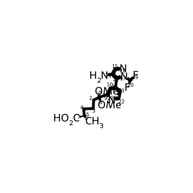 COC(CCC[C@@H](C)C(=O)O)(OC)c1cc(-c2c(N)cnn2C(F)F)ccn1